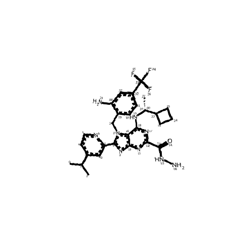 CC(C)c1ccnc(-c2nc3nc(C(=O)NN)nc(N[C@H](C)C4CCC4)c3n2Cc2ccc(C(F)(F)F)cc2N)c1